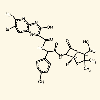 Cc1nc2nc(O)c(C(=O)NC(C(=O)NC3C(=O)N4[C@@H]3SC(C)(C)[C@@H]4C(=O)O)c3ccc(O)cc3)nc2cc1Br